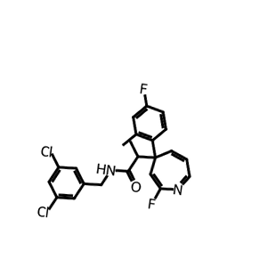 Cc1cc(F)ccc1C1(C(C)C(=O)NCc2cc(Cl)cc(Cl)c2)C=CC=NC(F)=C1